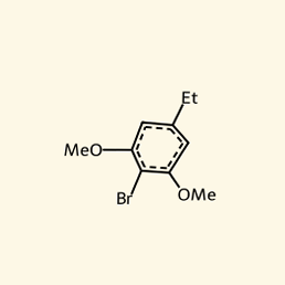 CCc1cc(OC)c(Br)c(OC)c1